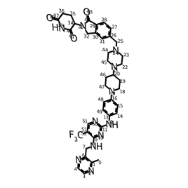 Cc1nccnc1CNc1nc(Nc2ccc(N3CCC(N4CCN(Cc5ccc6c(c5)CN(C5CCC(=O)NC5=O)C6=O)CC4)CC3)cc2)ncc1C(F)(F)F